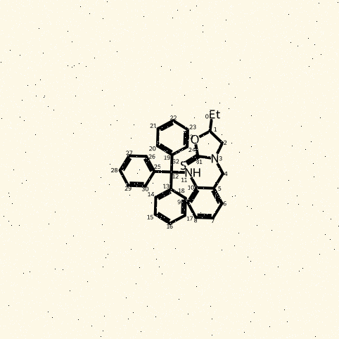 CCC1CN(Cc2ccccc2NC(c2ccccc2)(c2ccccc2)c2ccccc2)C(=S)O1